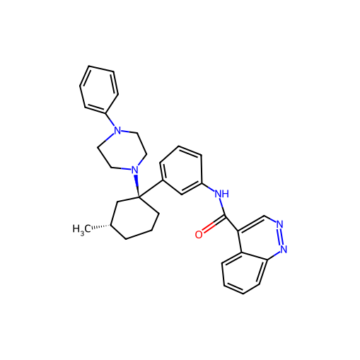 C[C@H]1CCC[C@](c2cccc(NC(=O)c3cnnc4ccccc34)c2)(N2CCN(c3ccccc3)CC2)C1